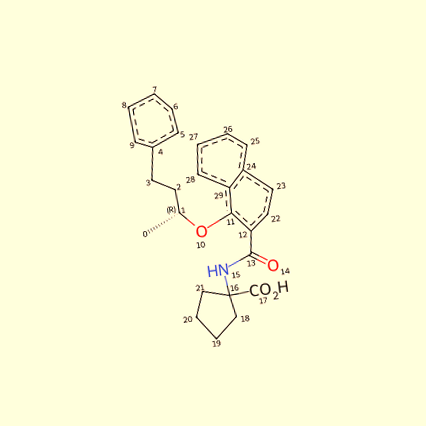 C[C@H](CCc1ccccc1)Oc1c(C(=O)NC2(C(=O)O)CCCC2)ccc2ccccc12